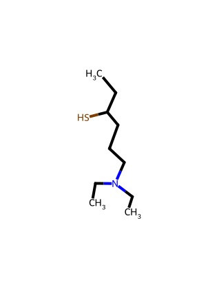 CCC(S)CCCN(CC)CC